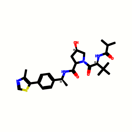 Cc1ncsc1-c1ccc([C@H](C)NC(=O)C2C[C@@H](O)CN2C(=O)[C@@H](NC(=O)C(C)C)C(C)(C)C)cc1